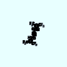 O=C(Nc1cc(C(F)(F)F)cc(C(F)(F)F)c1)c1ccc(C(=O)Nc2cc(C(F)(F)F)cc(C(F)(F)F)c2)nc1